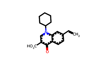 C=Cc1ccc2c(=O)c(C(=O)O)cn(C3CCCCC3)c2c1